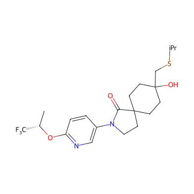 CC(C)SCC1(O)CCC2(CCN(c3ccc(O[C@@H](C)C(F)(F)F)nc3)C2=O)CC1